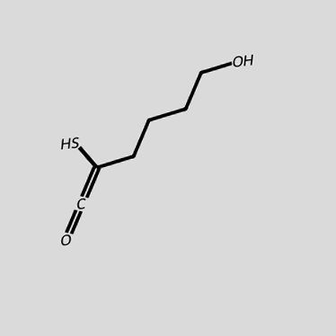 O=C=C(S)CCCCO